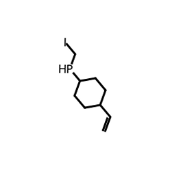 C=CC1CCC(PCI)CC1